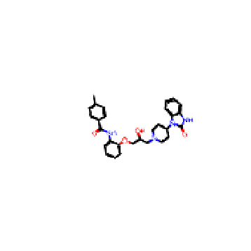 Cc1ccc(C(=O)Nc2ccccc2OCC(O)CN2CCC(n3c(=O)[nH]c4ccccc43)CC2)cc1